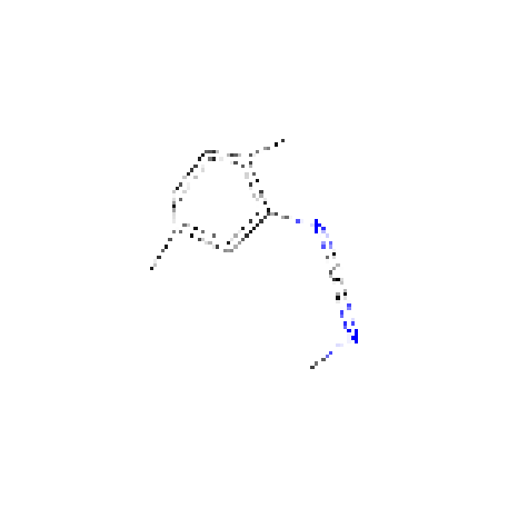 CN=C=Nc1cc(C)ccc1C